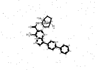 NC(=O)c1c([C@@H]2C[C@H]3CC[C@@H](C2)N3)nc2c(-c3ccc(-c4ccccc4)nc3)cnn2c1N